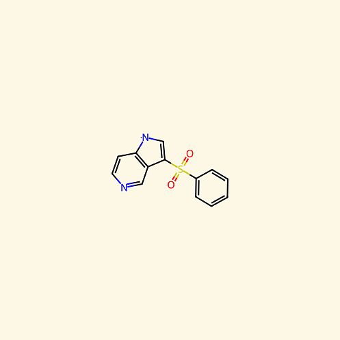 O=S(=O)(C1=C[N]c2ccncc21)c1ccccc1